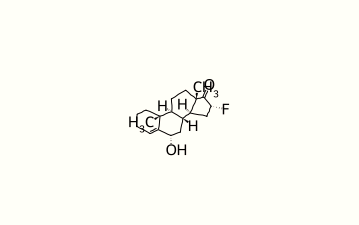 C[C@]12CCCC=C1[C@@H](O)C[C@@H]1[C@@H]2CC[C@]2(C)C(=O)[C@H](F)C[C@@H]12